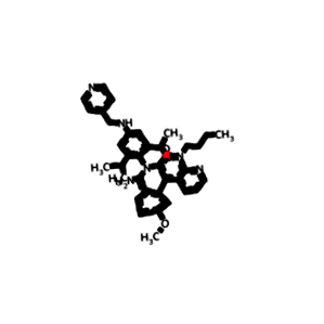 CCCCn1c(=O)c(N(C(N)=O)c2c(C(C)C)cc(NCc3ccncc3)cc2C(C)C)c(-c2cccc(OC)c2)c2cccnc21